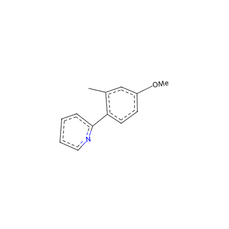 COc1ccc(-c2ccccn2)c(C)c1